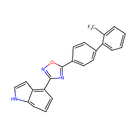 FC(F)(F)c1ccccc1-c1ccc(-c2nc(-c3cccc4[nH]ccc34)no2)cc1